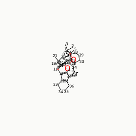 CC(C)(C)[Si](C)(C)OC1=C2CCC3=C(O[Si](C)(C)C(C)(C)C)[CH]([Zr][CH]1C1=C2CCCC1)C1=C3CCCC1